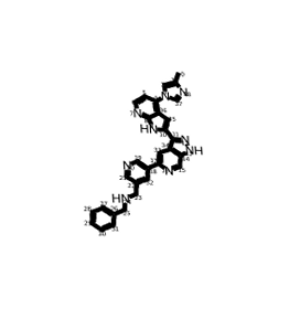 Cc1cn(-c2ccnc3[nH]c(-c4n[nH]c5cnc(-c6cncc(CNCc7ccccc7)c6)cc45)cc23)cn1